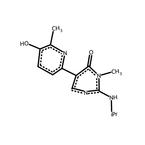 Cc1nc(-c2cnc(NC(C)C)n(C)c2=O)ccc1O